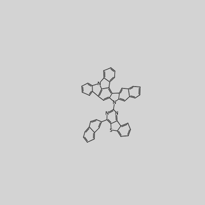 c1ccc2cc(-c3nc(-n4c5cc6ccccc6cc5c5c6c7ccccc7n7c8ccccc8c(cc54)c67)nc4c3sc3ccccc34)ccc2c1